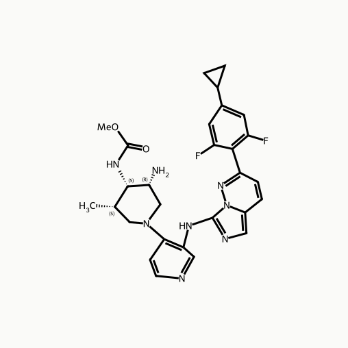 COC(=O)N[C@@H]1[C@H](N)CN(c2ccncc2Nc2ncc3ccc(-c4c(F)cc(C5CC5)cc4F)nn23)C[C@@H]1C